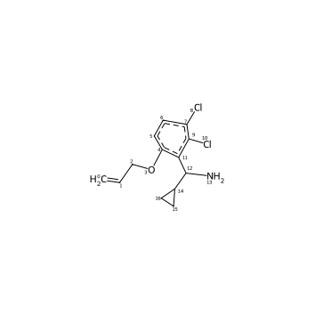 C=CCOc1ccc(Cl)c(Cl)c1C(N)C1CC1